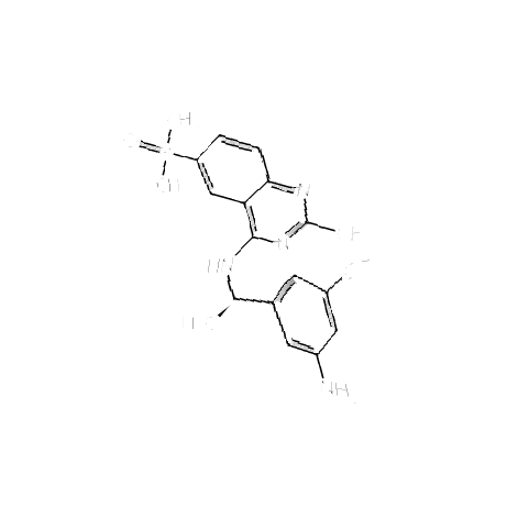 C[C@@H](Nc1nc(C(F)(F)F)nc2ccc(P(C)(C)=O)cc12)c1cc(N)cc(C(F)(F)F)c1